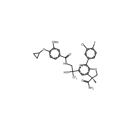 COc1cc(C(=O)NCC(O)(c2cc3c(c(-c4ccc(F)c(Cl)c4)n2)OC[C@]3(C)C(N)=O)C(F)(F)F)ccc1OC1CC1